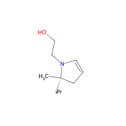 CC(C)[C@@]1(C)CC=CN1CCO